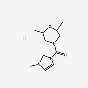 CC1CN(C(=O)N2C=CN(C)C2)CC(C)O1.I